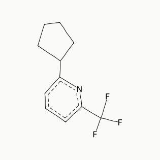 FC(F)(F)c1cccc(C2CCCC2)n1